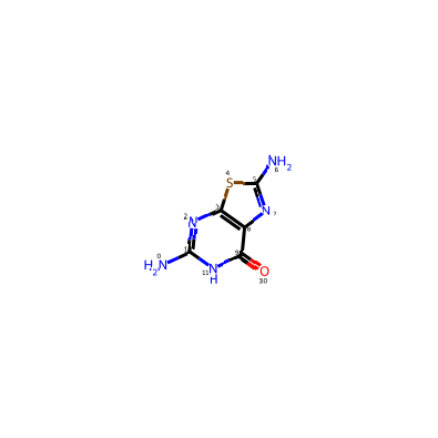 Nc1nc2sc(N)nc2c(=O)[nH]1